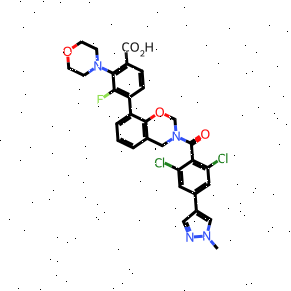 Cn1cc(-c2cc(Cl)c(C(=O)N3COc4c(cccc4-c4ccc(C(=O)O)c(N5CCOCC5)c4F)C3)c(Cl)c2)cn1